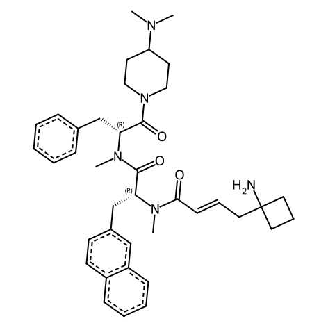 CN(C)C1CCN(C(=O)[C@@H](Cc2ccccc2)N(C)C(=O)[C@@H](Cc2ccc3ccccc3c2)N(C)C(=O)C=CCC2(N)CCC2)CC1